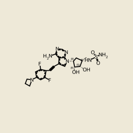 Nc1ncnc2c1c(C#Cc1c(F)cc(N3CCC3)cc1F)cn2[C@@H]1C[C@H](CNS(N)(=O)=O)[C@H](O)[C@@H]1O